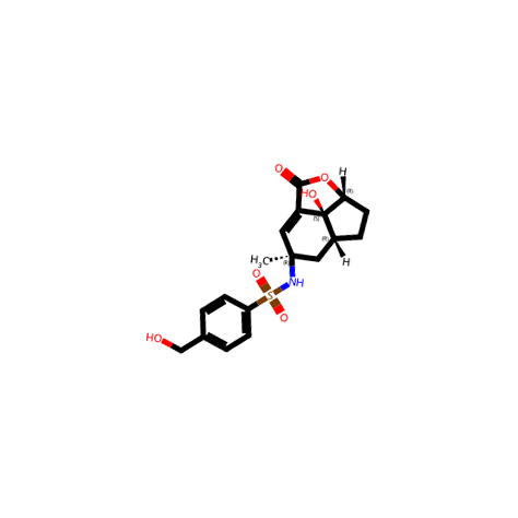 C[C@]1(NS(=O)(=O)c2ccc(CO)cc2)C=C2C(=O)O[C@@H]3CC[C@H](C1)[C@]23O